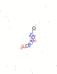 COC(=O)Cc1ccc(N2CCN(C(=O)c3cnc4c(n3)C(C)(C)CN4CCc3ccc(F)cc3)C(C)(C)C2)nc1